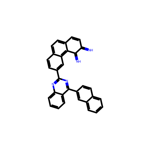 N=C1C=Cc2ccc3ccc(-c4nc(-c5ccc6ccccc6c5)c5ccccc5n4)cc3c2C1=N